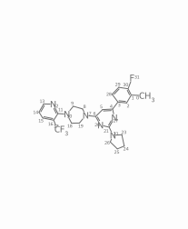 Cc1cc(-c2cc(N3CCN(c4ncccc4C(F)(F)F)CC3)nc(N3CCCC3)n2)ccc1F